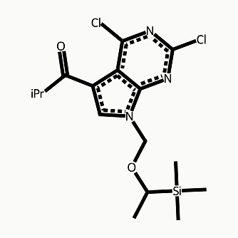 CC(C)C(=O)c1cn(COC(C)[Si](C)(C)C)c2nc(Cl)nc(Cl)c12